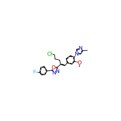 COc1cc(/C=C(\CCCCl)c2nnc(-c3ccc(F)cc3)o2)ccc1-n1cnc(C)c1